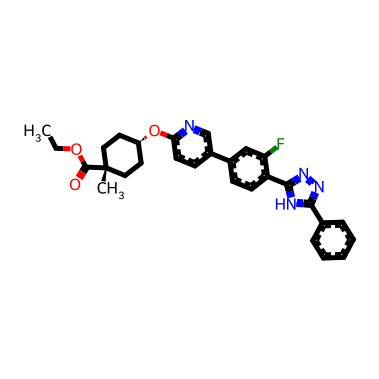 CCOC(=O)[C@]1(C)CC[C@H](Oc2ccc(-c3ccc(-c4nnc(-c5ccccc5)[nH]4)c(F)c3)cn2)CC1